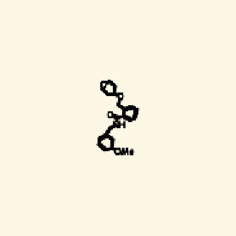 COc1cccc(CNC(=O)c2ccccc2COC2CCOCC2)c1